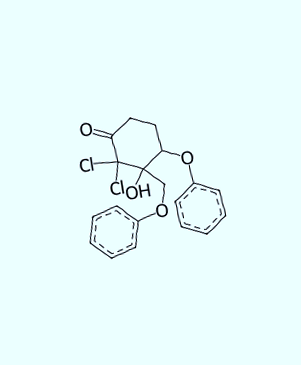 O=C1CCC(Oc2ccccc2)C(O)(COc2ccccc2)C1(Cl)Cl